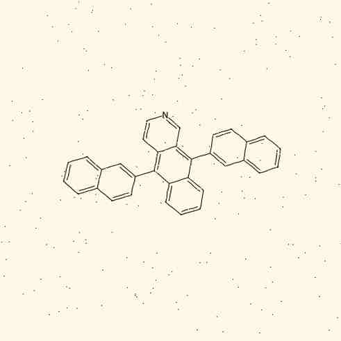 c1ccc2cc(-c3c4ccccc4c(-c4ccc5ccccc5c4)c4cnccc34)ccc2c1